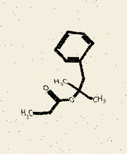 CCC(=O)OC(C)(C)Cc1ccccc1